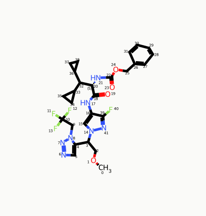 COCC(c1cnnn1CC(F)(F)F)n1cc(NC(=O)[C@@H](NC(=O)OCc2ccccc2)C(C2CC2)C2CC2)c(F)n1